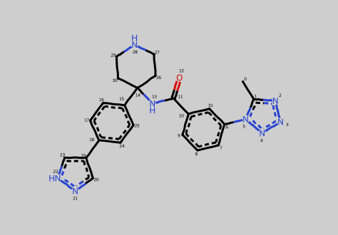 Cc1nnnn1-c1cccc(C(=O)NC2(c3ccc(-c4cn[nH]c4)cc3)CCNCC2)c1